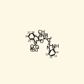 CC(NC(=O)C1CC1c1nc2ccccc2[nH]1)c1cn(C(=O)OC(C)(C)C)c2ccccc12